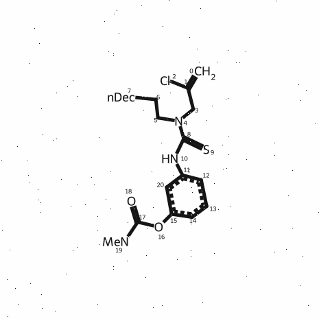 C=C(Cl)CN(CCCCCCCCCCCC)C(=S)Nc1cccc(OC(=O)NC)c1